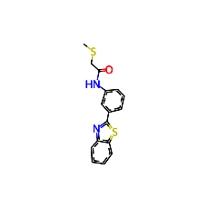 CSCC(=O)Nc1cccc(-c2nc3ccccc3s2)c1